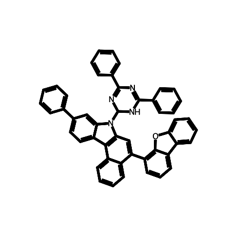 c1ccc(C2=NC(n3c4cc(-c5ccccc5)ccc4c4c5ccccc5c(-c5cccc6c5oc5ccccc56)cc43)NC(c3ccccc3)=N2)cc1